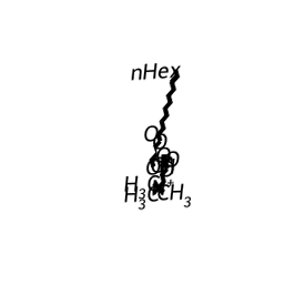 CCCCCC/C=C/CCCCCCCC(=O)OC[C@H](CO)OP(=O)([O-])OCC[N+](C)(C)C